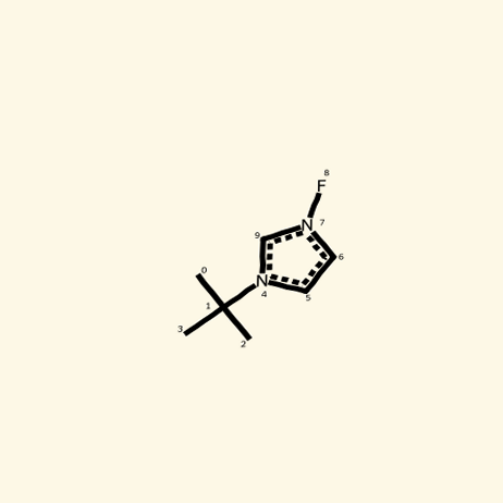 CC(C)(C)[n+]1ccn(F)c1